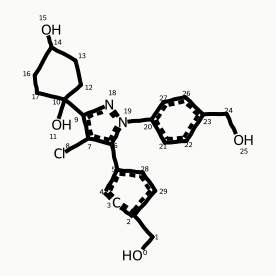 OCc1ccc(-c2c(Cl)c(C3(O)CCC(O)CC3)nn2-c2ccc(CO)cc2)cc1